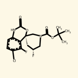 CC(C)(C)OC(=O)N1C[C@H](F)C[C@@]2(C1)OC(=O)Nc1ccc(Cl)c(F)c12